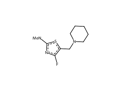 CNc1nc(F)c(CN2CCCCC2)s1